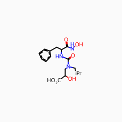 CC(C)CN(CC(O)C(=O)O)C(=O)NC(Cc1ccccc1)C(=O)NO